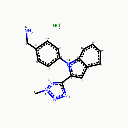 Cl.Cn1nnc(-c2cc3ccccc3n2-c2ccc(CN)cc2)n1